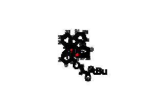 CC(C)(C)OC(=O)CCOCC12CCC(CN(C(c3ccccc3)(c3ccccc3)c3ccccc3)C1)N2C(=O)OC(C)(C)C